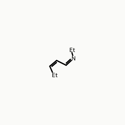 CC/C=C\C=N/CC